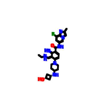 CCN/C=C1\C(=N)C(C(=O)Nc2cc(F)c3nc(C)cn3c2)=CC=C1N1CCC(N[C@H]2C[C@@H](O)C2)CC1